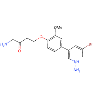 COc1cc(C(/C=C(\C)Br)=C/NN)ccc1OCCC(=O)CN